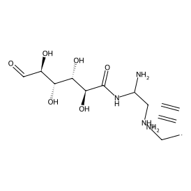 C=C.C=C.NCC(N)NC(=O)[C@@H](O)[C@@H](O)[C@H](O)[C@H](O)C=O.[CH2]CN